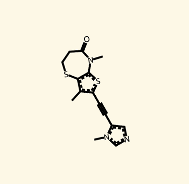 Cc1c(C#Cc2cncn2C)sc2c1SCCC(=O)N2C